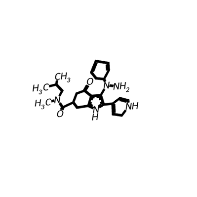 CC(C)CN(C)C(=O)C1CC(=O)c2c([nH]c(C3=CCNC=C3)c2N(N)C2C=CC=CC2)C1